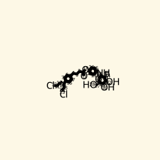 O=C(CCCc1ccc(N(CCCl)CCCl)cc1)Oc1ccc(N[C@@H]2O[C@H](CO)[C@@H](O)[C@H](O)[C@H]2F)cc1